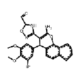 COc1cc(C2C(C3=NOC(C=O)N3)=C(N)Oc3c2ccc2ccccc32)cc(Br)c1OC